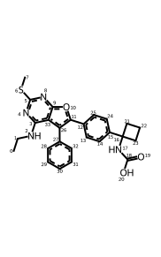 CCNc1nc(SC)nc2oc(-c3ccc(C4(NC(=O)O)CCC4)cc3)c(-c3ccccc3)c12